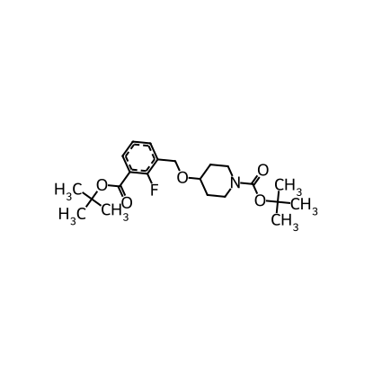 CC(C)(C)OC(=O)c1cccc(COC2CCN(C(=O)OC(C)(C)C)CC2)c1F